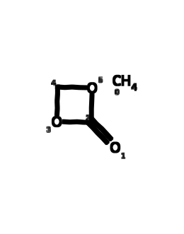 C.O=C1OCO1